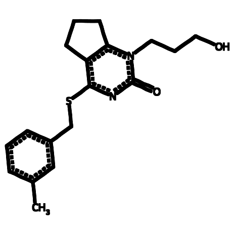 Cc1cccc(CSc2nc(=O)n(CCCO)c3c2CCC3)c1